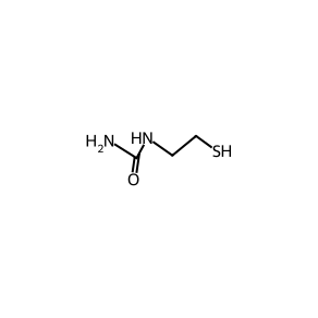 NC(=O)NCCS